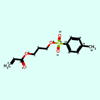 C=CC(=O)OCCCOS(=O)(=O)c1ccc(C)cc1